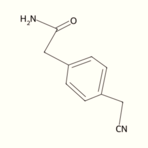 N#CCc1ccc(CC(N)=O)cc1